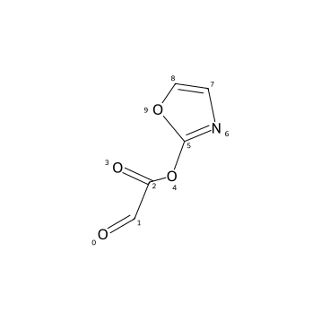 O=CC(=O)Oc1ncco1